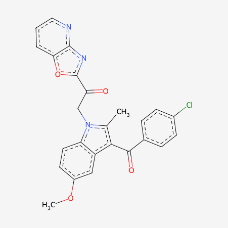 COc1ccc2c(c1)c(C(=O)c1ccc(Cl)cc1)c(C)n2CC(=O)c1nc2ncccc2o1